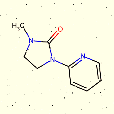 CN1CCN(c2ccc[c]n2)C1=O